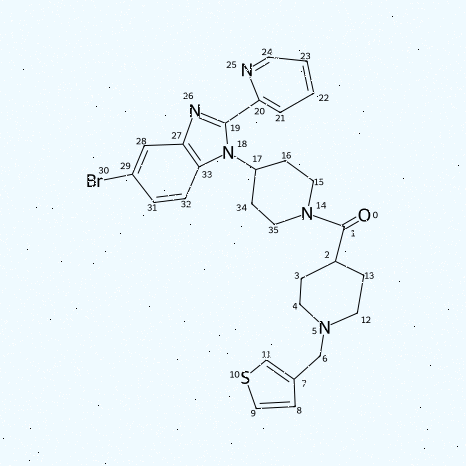 O=C(C1CCN(Cc2ccsc2)CC1)N1CCC(n2c(-c3ccccn3)nc3cc(Br)ccc32)CC1